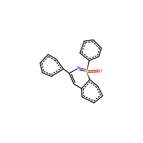 O=S1(c2ccccc2)=NC(c2ccccc2)=Cc2ccccc21